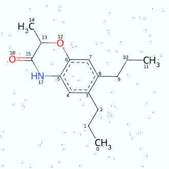 CCCc1cc2c(cc1CCC)OC(C)C(=O)N2